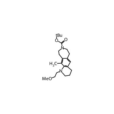 COCCN1CCCc2cc3c(c(C)c21)CCN(C(=O)OC(C)(C)C)CC3